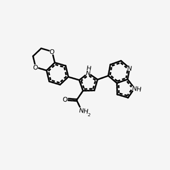 NC(=O)c1cc(-c2ccnc3[nH]ccc23)[nH]c1-c1ccc2c(c1)OCCO2